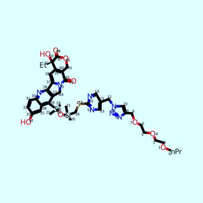 CCCOCCOCCOCc1cn(Cc2cnc(SC[Si](C)(C)O[Si](C)(C)c3c4c(nc5ccc(O)cc35)-c3cc5c(c(=O)n3C4)COC(=O)[C@]5(O)CC)nc2)nn1